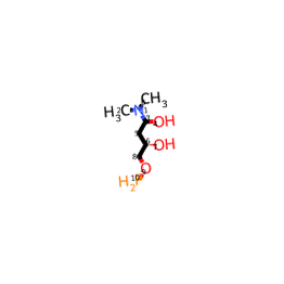 CN(C)C(O)C[C@H](O)COP